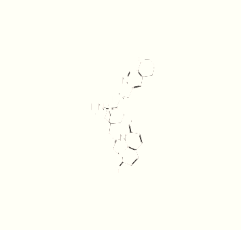 N[C@H]1CC2(C[C@@H]3Cn4c(=O)ccc5ccc(=O)n3c54)CCC1(NCc1cc3c(cn1)OCCC3)CC2